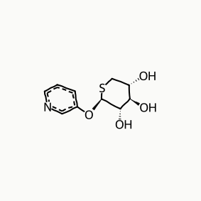 O[C@H]1[C@H](O)[C@@H](Oc2cccnc2)SC[C@@H]1O